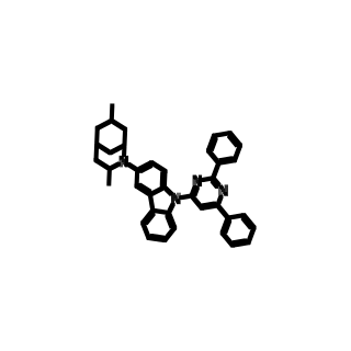 CC1CC2CC(C)N(c3ccc4c(c3)c3ccccc3n4-c3cc(-c4ccccc4)nc(-c4ccccc4)n3)C(C1)C2